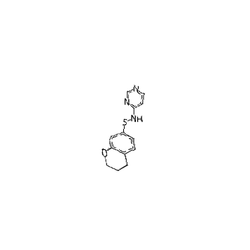 c1cc(NSc2ccc3c(c2)OCCC3)ncn1